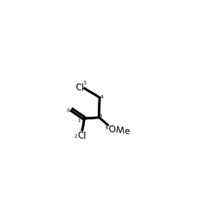 C=C(Cl)C(CCl)OC